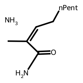 CCCCCCC=C(C)C(N)=O.N